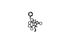 C=CCC1(C)C2C(=O)C[C@H]2N(C(=O)OCc2ccccc2)C1C(=O)OC